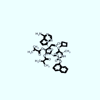 CN=C[C@@]1(c2ccc3c(N)ncnn23)O[C@H](COP(=O)(N[C@@H](C)C(=O)OC2CCC2)Oc2cccc3ccccc23)[C@@H](OC(=O)C(C)C)[C@H]1OC(=O)C(C)C